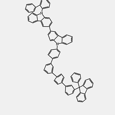 c1ccc(-c2ccccc2-n2c3ccccc3c3cc(-c4ccc5c(c4)c4ccccc4n5-c4ccc(-c5cccc(-c6ccc(-c7cccc(C8(c9ccccc9)c9ccccc9-c9ccccc98)c7)cc6)c5)cc4)ccc32)cc1